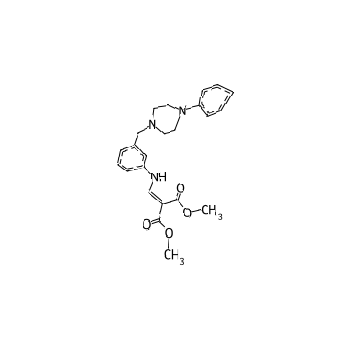 COC(=O)C(=CNc1cccc(CN2CCN(c3ccccc3)CC2)c1)C(=O)OC